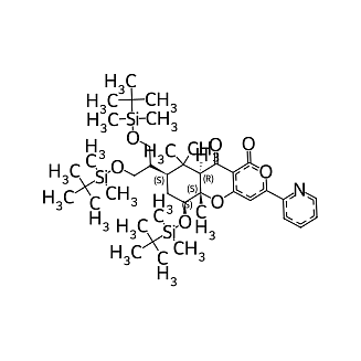 CC1(C)[C@H]2C(=O)c3c(cc(-c4ccccn4)oc3=O)O[C@]2(C)[C@@H](O[Si](C)(C)C(C)(C)C)C[C@H]1C(CO[Si](C)(C)C(C)(C)C)CO[Si](C)(C)C(C)(C)C